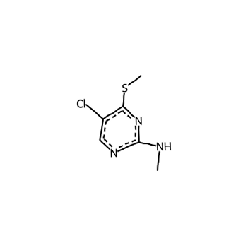 CNc1ncc(Cl)c(SC)n1